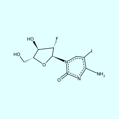 Nc1nc(=O)n([C@H]2O[C@H](CO)[C@@H](O)[C@@H]2F)cc1I